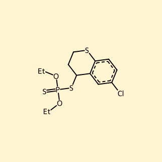 CCOP(=S)(OCC)SC1CCSc2ccc(Cl)cc21